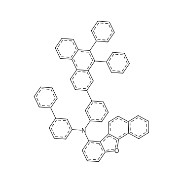 c1ccc(-c2cccc(N(c3cccc(-c4ccc5c(c4)c(-c4ccccc4)c(-c4ccccc4)c4ccccc45)c3)c3cccc4oc5c6ccccc6ccc5c34)c2)cc1